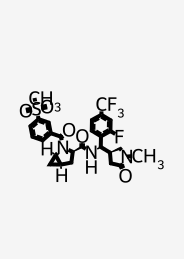 CN1C[C@H]([C@H](NC(=O)[C@H]2C[C@H]3C[C@H]3N2C(=O)c2cccc(S(C)(=O)=O)c2)c2ccc(C(F)(F)F)cc2F)CC1=O